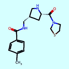 Cc1ccc(C(=O)NC[C@@H]2CN[C@H](C(=O)N3CCSC3)C2)cc1